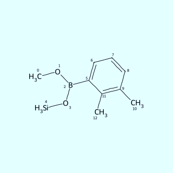 COB(O[SiH3])c1cccc(C)c1C